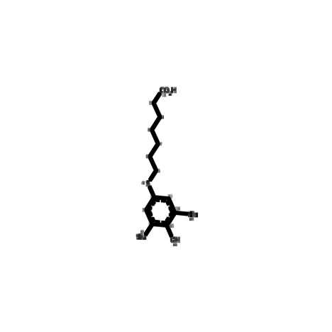 CC(C)(C)c1cc(SCCCCCCC(=O)O)cc(C(C)(C)C)c1O